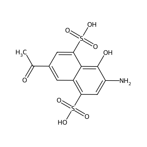 CC(=O)c1cc(S(=O)(=O)O)c2c(O)c(N)cc(S(=O)(=O)O)c2c1